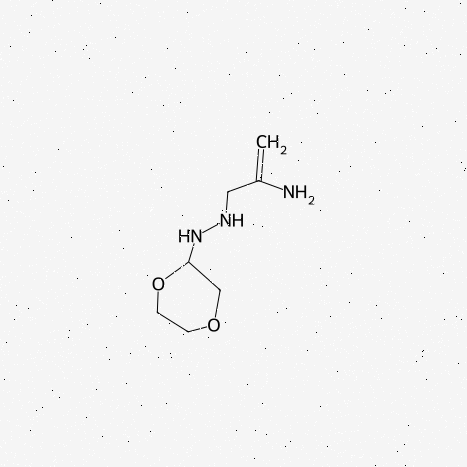 C=C(N)CNNC1COCCO1